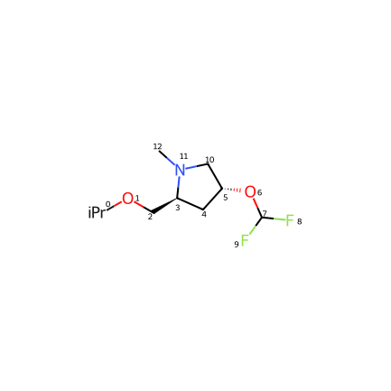 CC(C)OC[C@@H]1C[C@@H](OC(F)F)CN1C